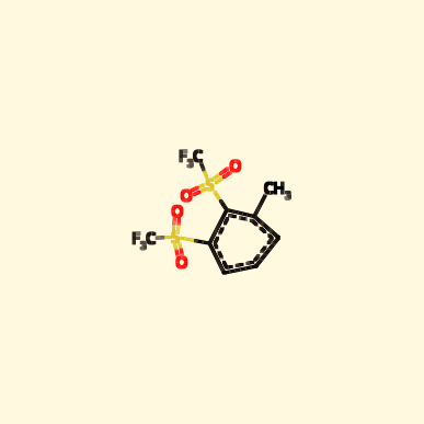 Cc1cccc(S(=O)(=O)C(F)(F)F)c1S(=O)(=O)C(F)(F)F